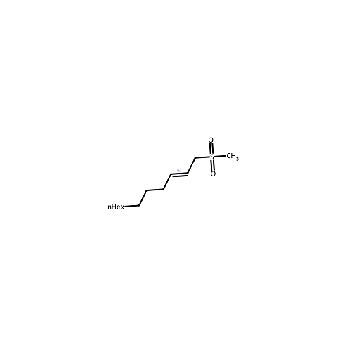 CCCCCCCCC/C=C/CS(C)(=O)=O